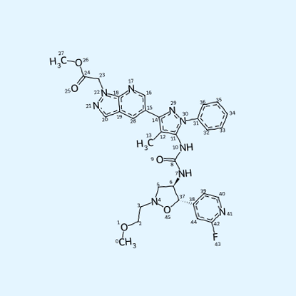 COCCN1C[C@@H](NC(=O)Nc2c(C)c(-c3cnc4c(cnn4CC(=O)OC)c3)nn2-c2ccccc2)[C@H](c2ccnc(F)c2)O1